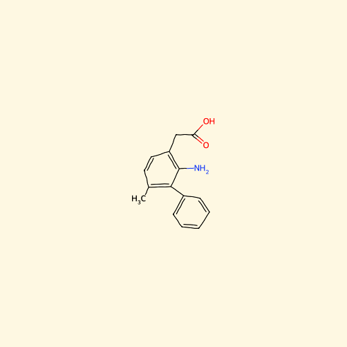 Cc1ccc(CC(=O)O)c(N)c1-c1ccccc1